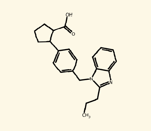 CCCc1nc2ccccc2n1Cc1ccc(C2CCCC2C(=O)O)cc1